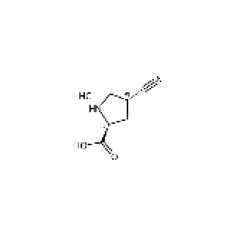 Cl.N#C[C@H]1CN[C@H](C(=O)O)C1